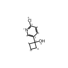 OC1(c2ccc(Cl)nc2)CCC1